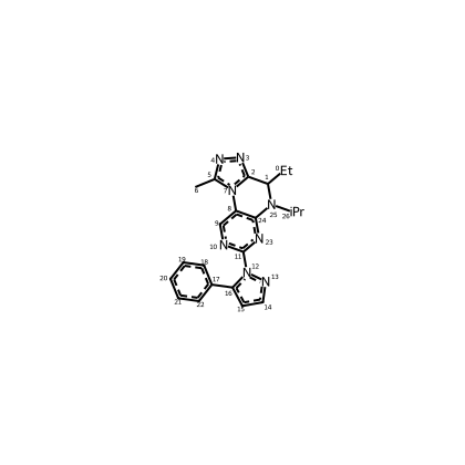 CCC1c2nnc(C)n2-c2cnc(-n3nccc3-c3ccccc3)nc2N1C(C)C